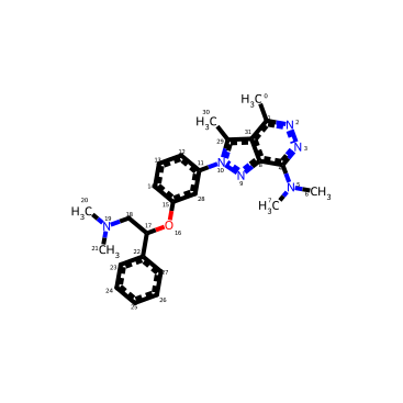 Cc1nnc(N(C)C)c2nn(-c3cccc(OC(CN(C)C)c4ccccc4)c3)c(C)c12